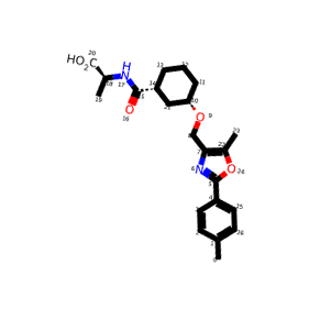 Cc1ccc(-c2nc(CO[C@H]3CCC[C@@H](C(=O)N[C@@H](C)C(=O)O)C3)c(C)o2)cc1